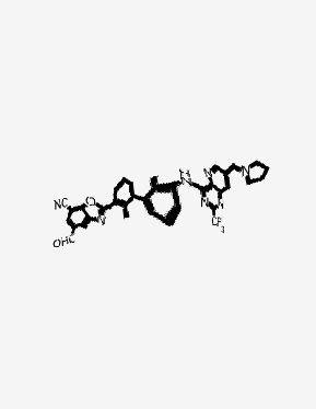 Cc1c(Nc2nc(C(F)(F)F)nc3cc(CN4CCCC4)cnc23)cccc1-c1cccc(-c2nc3cc(C=O)cc(C#N)c3o2)c1C